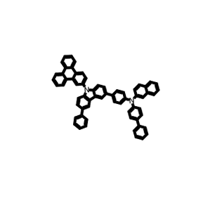 c1ccc(-c2ccc(N(c3ccc(-c4ccc5c(c4)c4cc(-c6ccccc6)ccc4n5-c4ccc5c6ccccc6c6ccccc6c5c4)cc3)c3ccc4ccccc4c3)cc2)cc1